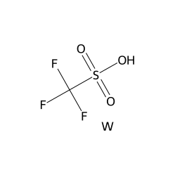 O=S(=O)(O)C(F)(F)F.[W]